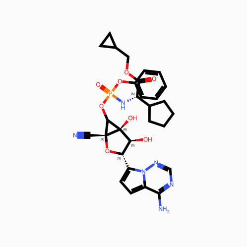 N#C[C@]12O[C@@H](c3ccc4c(N)ncnn34)[C@H](O)[C@@]1(O)C2OP(=O)(N[C@H](C(=O)OCC1CC1)C1CCCC1)Oc1ccccc1